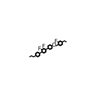 CCCc1ccc(-c2ccc(-c3ccc(OCc4ccc(CC)cc4F)cc3)c(F)c2F)cc1